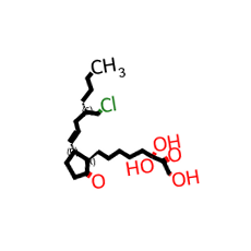 CCCC[C@H](CCl)CC=C[C@H]1CCC(=O)[C@@H]1CCCCCC(O)(O)C(=O)CO